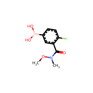 CON(C)C(=O)c1cc(B(O)O)ccc1F